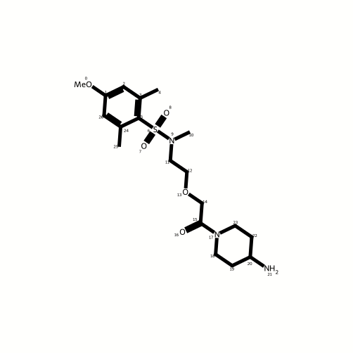 COc1cc(C)c(S(=O)(=O)N(C)CCOCC(=O)N2CCC(N)CC2)c(C)c1